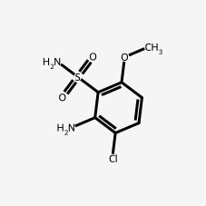 COc1ccc(Cl)c(N)c1S(N)(=O)=O